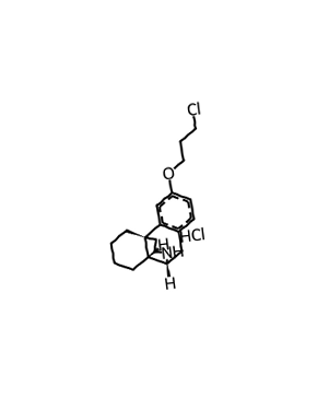 Cl.ClCCCOc1ccc2c(c1)[C@@]13CCCC[C@H]1[C@@H](C2)NCC3